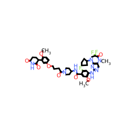 COc1cc(C(=O)NC2CCN(C(=O)CCCOc3ccc(OC)c(C4CCC(=O)NC4=O)c3)CC2)c(F)cc1Nc1ncc2c(n1)N(C1CCCC1)CC(F)(F)C(=O)N2C